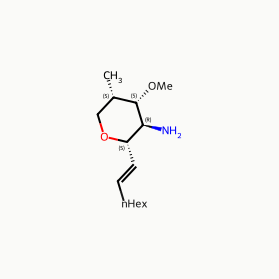 CCCCCCC=C[C@@H]1OC[C@H](C)[C@H](OC)[C@H]1N